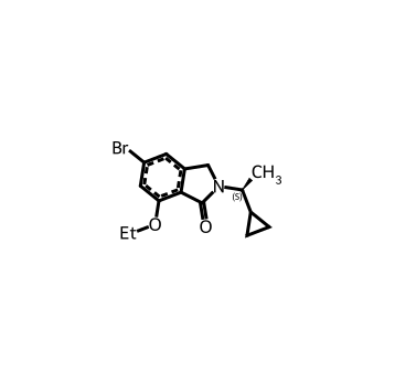 CCOc1cc(Br)cc2c1C(=O)N([C@@H](C)C1CC1)C2